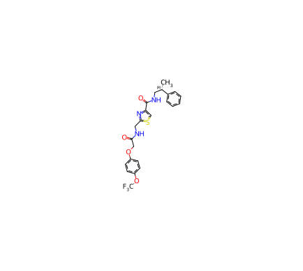 C[C@@H](CNC(=O)c1csc(CNC(=O)COc2ccc(OC(F)(F)F)cc2)n1)c1ccccc1